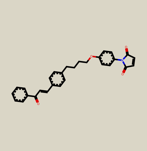 O=C(C=Cc1ccc(CCCCOc2ccc(N3C(=O)C=CC3=O)cc2)cc1)c1ccccc1